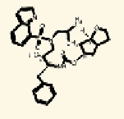 CC(C)CN(C[C@@H](O)[C@H](Cc1ccccc1)NC(=O)O[C@@H]1CC2CCO[C@@H]2C1)S(=O)(=O)c1cccc2cccnc12